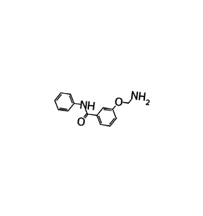 NCOc1cccc(C(=O)Nc2ccccc2)c1